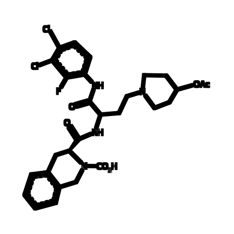 CC(=O)OC1CCN(CCC(NC(=O)[C@@H]2Cc3ccccc3CN2C(=O)O)C(=O)Nc2ccc(Cl)c(Cl)c2F)CC1